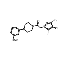 COc1cccc(N2CCN(C(=O)Cn3nc(C(F)(F)F)c(Cl)c3C)CC2)c1